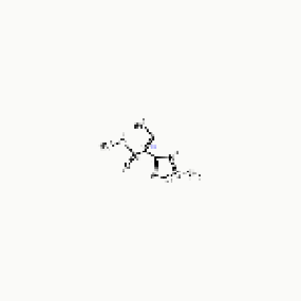 CC(C)/C=C(\C(=O)OC(C)(C)C)c1csc(N)n1